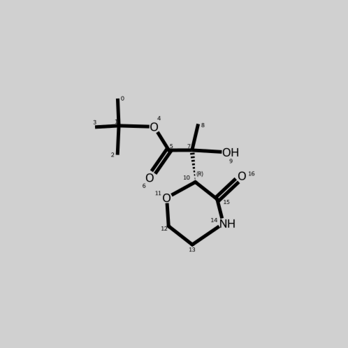 CC(C)(C)OC(=O)C(C)(O)[C@H]1OCCNC1=O